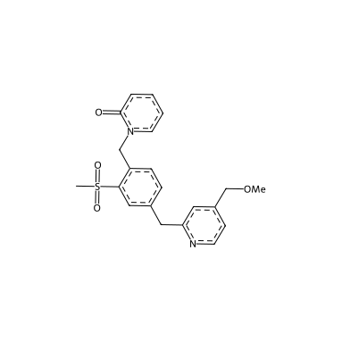 COCc1ccnc(Cc2ccc(Cn3ccccc3=O)c(S(C)(=O)=O)c2)c1